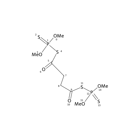 COP(=S)(OC)SC(=O)CCC(=O)SP(=S)(OC)OC